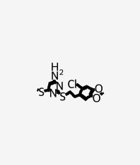 CSc1cc(N)nc(SCCc2cc3c(cc2Cl)OCO3)n1